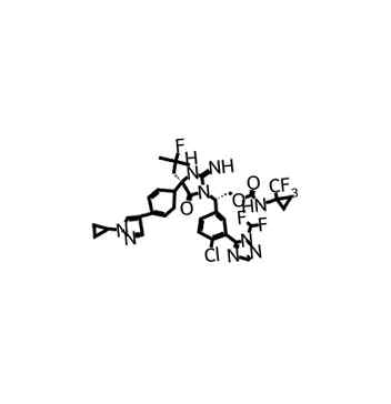 CC(C)(F)C[C@]1(C2C=CC(c3cnn(C4CC4)c3)=CC2)NC(=N)N([C@H](COC(=O)NC2(C(F)(F)F)CC2)c2ccc(Cl)c(-c3ncnn3C(F)F)c2)C1=O